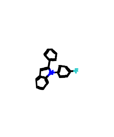 Fc1ccc(-n2c(-c3ccccc3)cc3ccccc32)cc1